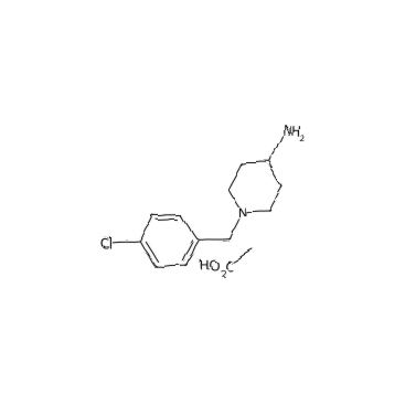 CC(=O)O.NC1CCN(Cc2ccc(Cl)cc2)CC1